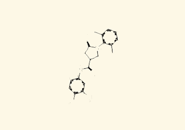 Cc1cccc(C)c1N1CC(C(=O)Nc2ccc(Cl)c(C(F)(F)F)c2)CC1=O